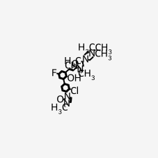 C/C(=C\C(=O)N(C)CC(C)N1CCN(C(C)(C)C)CC1)c1cc(F)cc(-c2ccc(-n3ccn(C)c3=O)c(Cl)c2)c1O